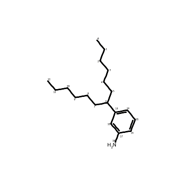 CCCCCCC(CCCCCC)c1cccc(N)c1